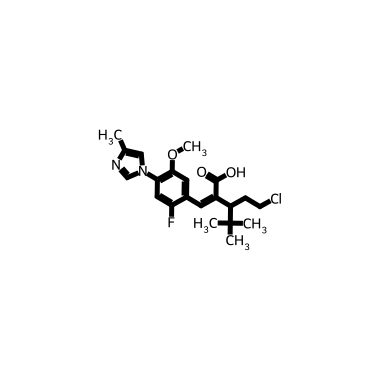 COc1cc(C=C(C(=O)O)C(CCCl)C(C)(C)C)c(F)cc1-n1cnc(C)c1